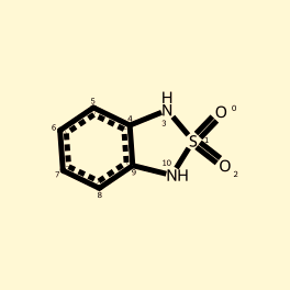 O=S1(=O)Nc2ccccc2N1